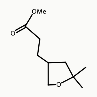 COC(=O)CCC1COC(C)(C)C1